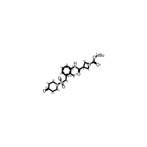 CC(C)(C)OC(=O)N1CC(C(=O)Nc2cccc(CS(=O)(=O)N3CCC(=O)CC3)c2F)C1